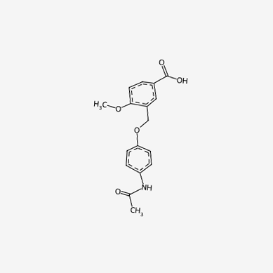 COc1ccc(C(=O)O)cc1COc1ccc(NC(C)=O)cc1